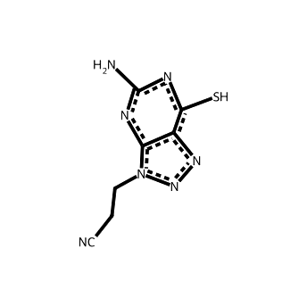 N#CCCn1nnc2c(S)nc(N)nc21